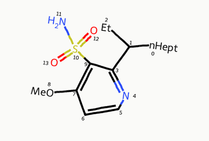 CCCCCCCC(CC)c1nccc(OC)c1S(N)(=O)=O